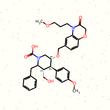 COCCCN1C(=O)COc2ccc(CO[C@H]3CN(C(=O)O)C(Cc4ccccc4)[C@@H](CO)[C@@H]3c3ccc(OC)cc3)cc21